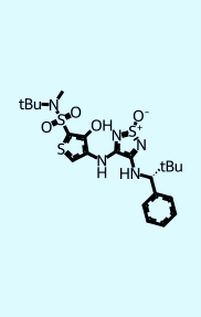 CN(C(C)(C)C)S(=O)(=O)c1scc(Nc2n[s+]([O-])nc2N[C@@H](c2ccccc2)C(C)(C)C)c1O